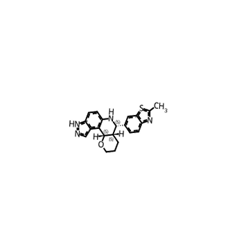 Cc1nc2ccc([C@H]3Nc4ccc5[nH]ncc5c4[C@H]4OCCC[C@@H]34)cc2s1